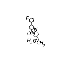 CN(C)CC1CCc2nc3cc(-c4cccc(F)c4)ccc3c(=O)n2CC1